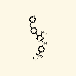 Nc1nc(Nc2ccc(S(N)(=O)=O)cc2)ncc1-c1ccc(Cc2ccncc2)cc1